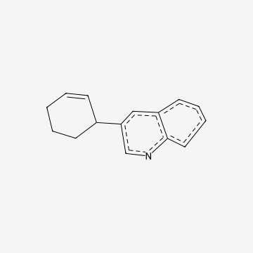 C1=CC(c2cnc3ccccc3c2)CCC1